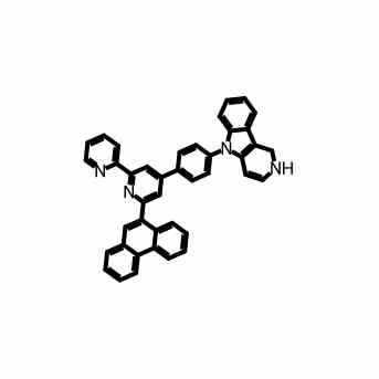 C1=Cc2c(c3ccccc3n2-c2ccc(-c3cc(-c4ccccn4)nc(-c4cc5ccccc5c5ccccc45)c3)cc2)CN1